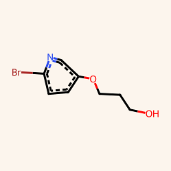 OCCCOc1ccc(Br)nc1